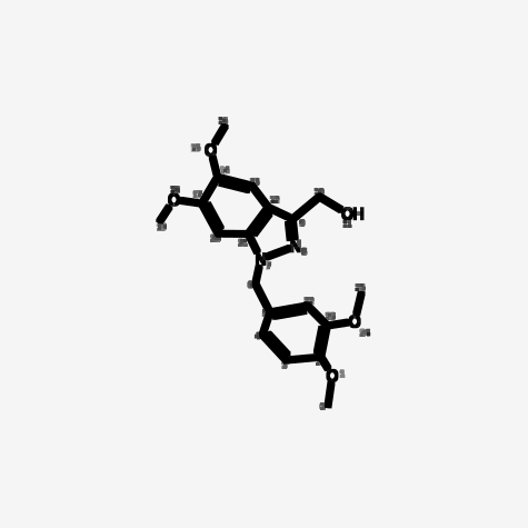 COc1ccc(Cn2nc(CO)c3cc(OC)c(OC)cc32)cc1OC